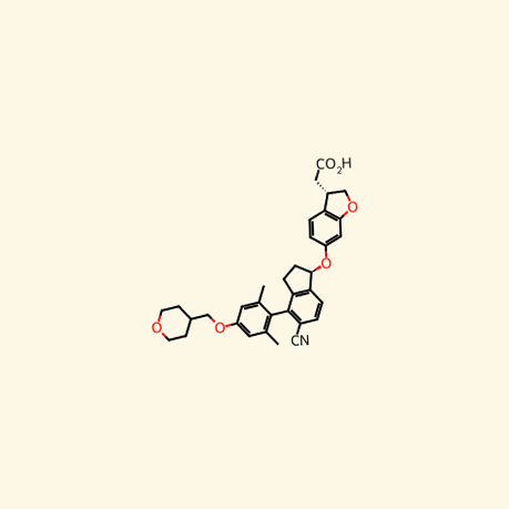 Cc1cc(OCC2CCOCC2)cc(C)c1-c1c(C#N)ccc2c1CC[C@H]2Oc1ccc2c(c1)OC[C@H]2CC(=O)O